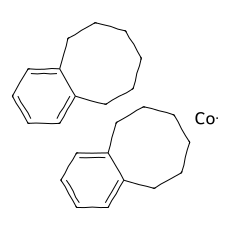 [Co].c1ccc2c(c1)CCCCCC2.c1ccc2c(c1)CCCCCC2